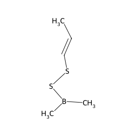 C/C=C/SSB(C)C